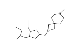 CCC(C)CC1CC(CN2CC3(CCN(C)CC3)C2)CC1CC